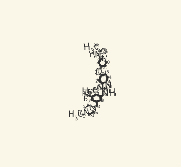 CCN1CCN(Cc2cc(Nc3nc4ccc(Oc5ccnc(NC(C)=O)c5)cc4n3C)cc(C(F)(F)F)c2)CC1